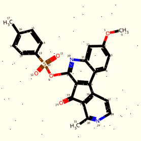 COc1ccc2c3c(c(OS(=O)(=O)c4ccc(C)cc4)nc2c1)C(=O)c1c-3ccnc1C